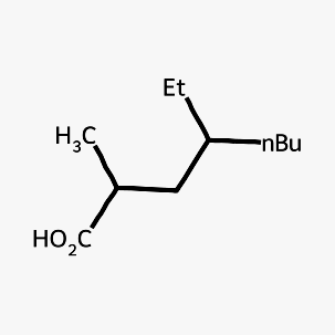 CCCCC(CC)CC(C)C(=O)O